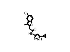 Cc1c(CC(=O)Nc2cc(C3CC3)[nH]n2)sc2ccc(Cl)cc12